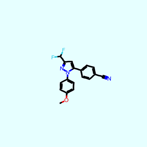 COc1ccc(-n2nc(C(F)F)cc2-c2ccc(C#N)cc2)cc1